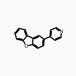 [c]1ccc2c(c1)oc1ccc(-c3ccncc3)cc12